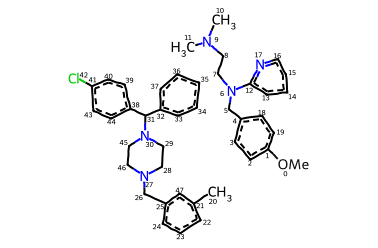 COc1ccc(CN(CCN(C)C)c2ccccn2)cc1.Cc1cccc(CN2CCN(C(c3ccccc3)c3ccc(Cl)cc3)CC2)c1